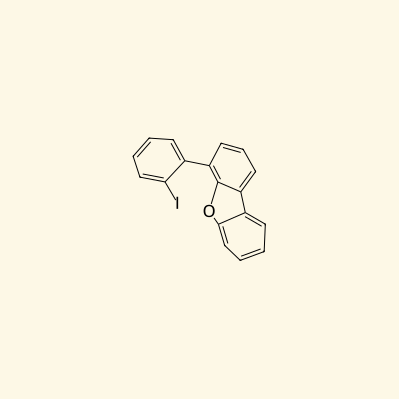 Ic1ccccc1-c1cccc2c1oc1ccccc12